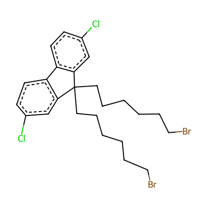 Clc1ccc2c(c1)C(CCCCCCBr)(CCCCCCBr)c1cc(Cl)ccc1-2